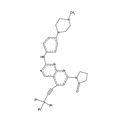 CC(C)[Si](C#Cc1cc(N2CCCC2=O)nc2nc(Nc3ccc(N4CCN(C)CC4)cc3)ncc12)(C(C)C)C(C)C